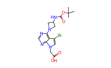 CC(C)(C)OC(=O)NC1CN(c2ncnc3c2c(Br)cn3CC(=O)O)C1